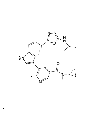 CC(C)Nc1nnc(-c2ccc3[nH]cc(-c4cncc(C(=O)NC5CC5)c4)c3c2)o1